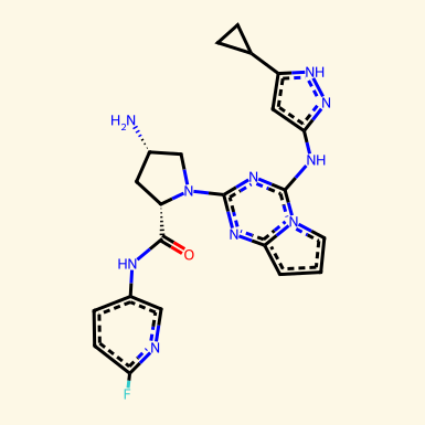 N[C@H]1C[C@@H](C(=O)Nc2ccc(F)nc2)N(c2nc(Nc3cc(C4CC4)[nH]n3)n3cccc3n2)C1